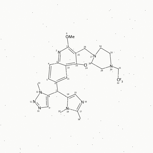 COc1nc2ccc(C(c3cnnn3C)c3cnc(C)n3C)cc2c(Cl)c1CN1CCN(CC(F)(F)F)CC1